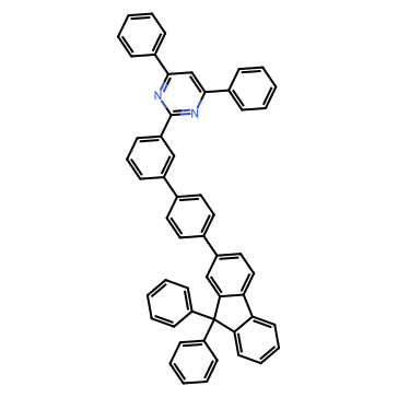 c1ccc(-c2cc(-c3ccccc3)nc(-c3cccc(-c4ccc(-c5ccc6c(c5)C(c5ccccc5)(c5ccccc5)c5ccccc5-6)cc4)c3)n2)cc1